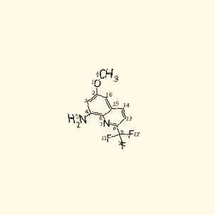 COc1cc(N)c2nc(C(F)(F)F)ccc2c1